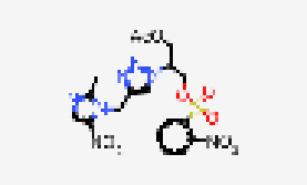 CC(=O)OCC(COS(=O)(=O)c1ccccc1[N+](=O)[O-])n1cc(Cn2c([N+](=O)[O-])cnc2C)nn1